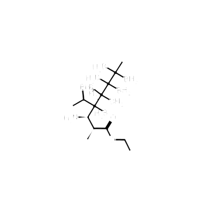 BC(C)C(B)([C@H](N)[C@H](C)C(=O)OCC)C(B)(B)C(B)(B)C(B)(B)C